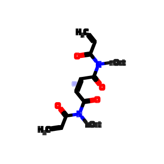 C=CC(=O)N(CCCCCCCC)C(=O)/C=C\C(=O)N(CCCCCCCC)C(=O)C=C